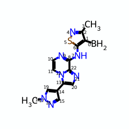 Bc1c(C)nsc1Nc1nccn2c(-c3cnn(C)c3)cnc12